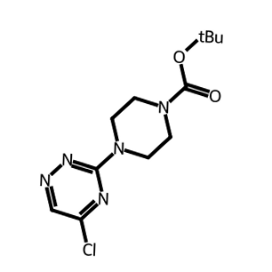 CC(C)(C)OC(=O)N1CCN(c2nncc(Cl)n2)CC1